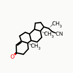 C[C@H](CC#N)C1CCC2C3CCC4=CC(=O)CC[C@]4(C)C3CC[C@@]21C